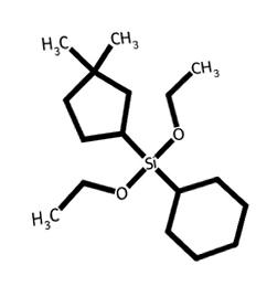 CCO[Si](OCC)(C1CCCCC1)C1CCC(C)(C)C1